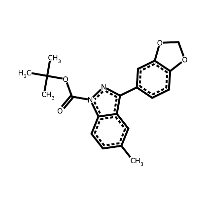 Cc1ccc2c(c1)c(-c1ccc3c(c1)OCO3)nn2C(=O)OC(C)(C)C